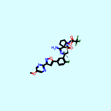 CN=[S@@]1(=O)C[C@@](C)(c2cc(-c3cc(-c4ncc(OC)cn4)no3)ccc2F)N=C(N)C12CCCC2OC(=O)C(F)(F)F